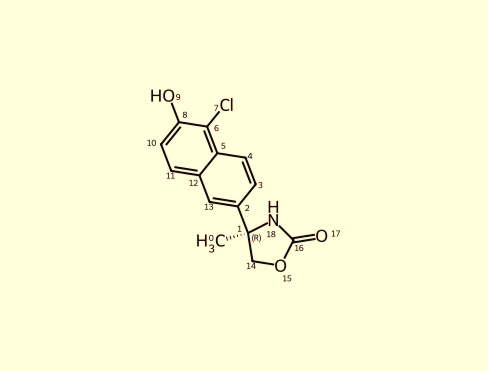 C[C@@]1(c2ccc3c(Cl)c(O)ccc3c2)COC(=O)N1